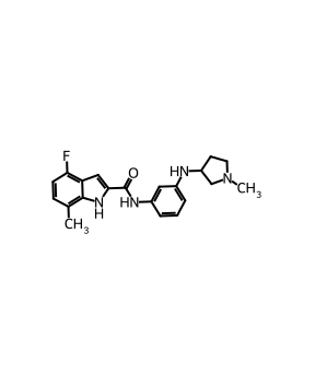 Cc1ccc(F)c2cc(C(=O)Nc3cccc(NC4CCN(C)C4)c3)[nH]c12